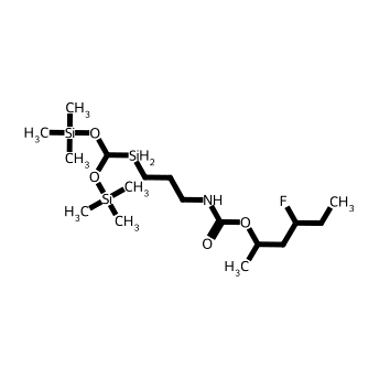 CCC(F)CC(C)OC(=O)NCCC[SiH2]C(O[Si](C)(C)C)O[Si](C)(C)C